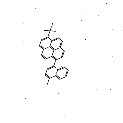 Cc1ccc(-c2ccc3ccc4c(C(C)(C)I)ccc5ccc2c3c54)c2ccccc12